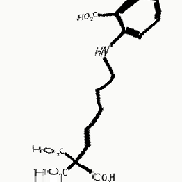 O=C(O)c1ccccc1NCCCCCC(C(=O)O)(C(=O)O)C(=O)O